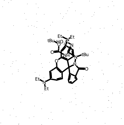 CCN(CC)c1ccc2c(c1)Oc1cc(N(CC)CC)ccc1C21c2ccccc2C(=O)N1N(C(=NC(=O)O)NC(=O)OC(C)(C)C)C(C)(C)C